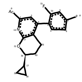 CC(=O)c1cc(-c2ccc(F)cc2F)c2c(n1)O[C@H](C1CC1)CC2